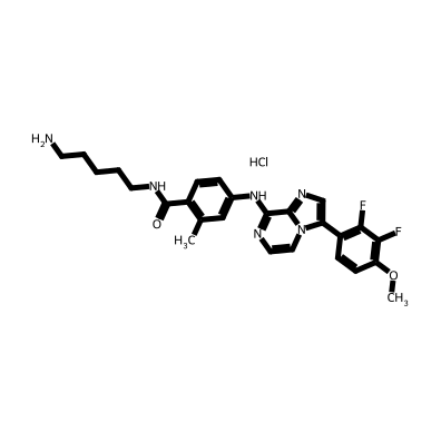 COc1ccc(-c2cnc3c(Nc4ccc(C(=O)NCCCCCN)c(C)c4)nccn23)c(F)c1F.Cl